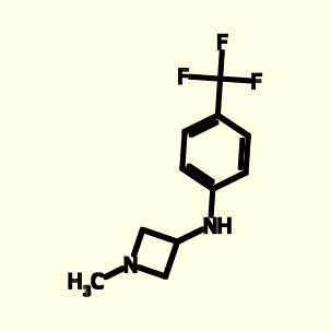 CN1CC(Nc2ccc(C(F)(F)F)cc2)C1